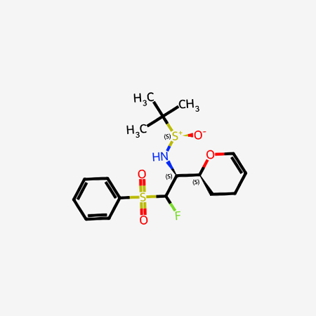 CC(C)(C)[S@@+]([O-])N[C@H](C(F)S(=O)(=O)c1ccccc1)[C@@H]1CCC=CO1